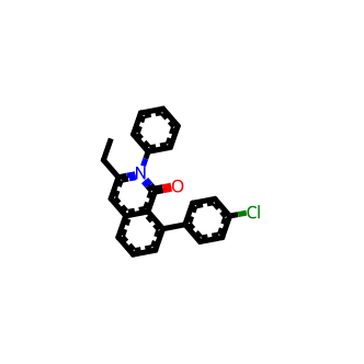 CCc1cc2cccc(-c3ccc(Cl)cc3)c2c(=O)n1-c1ccccc1